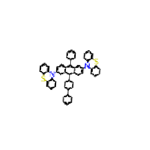 c1ccc(-c2ccc(-c3c4ccc(N5c6ccccc6Sc6ccccc65)cc4c(-c4ccccc4)c4ccc(N5c6ccccc6Sc6ccccc65)cc34)cc2)cc1